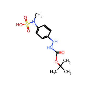 CN(c1ccc(NNC(=O)OC(C)(C)C)cc1)S(=O)(=O)O